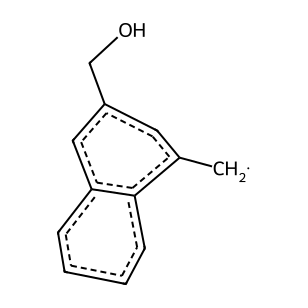 [CH2]c1cc(CO)cc2ccccc12